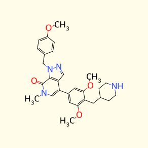 COc1ccc(Cn2ncc3c(-c4cc(OC)c(CC5CCNCC5)c(OC)c4)cn(C)c(=O)c32)cc1